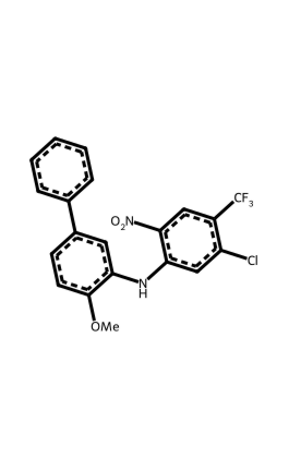 COc1ccc(-c2ccccc2)cc1Nc1cc(Cl)c(C(F)(F)F)cc1[N+](=O)[O-]